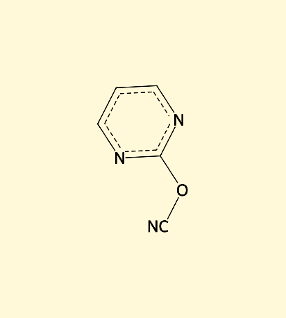 N#COc1ncccn1